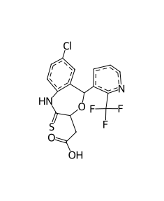 O=C(O)CC1OC(c2cccnc2C(F)(F)F)c2cc(Cl)ccc2NC1=S